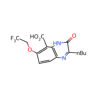 CCCCc1nc2ccc(OCC(F)(F)F)c(C(=O)O)c2[nH]c1=O